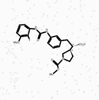 COc1cccc(NC(=O)Nc2cccc(C[C@H](C(=O)O)[C@H]3CCN(C(=O)OC(C)(C)C)C3)c2)c1F